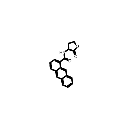 O=C(NC1CCOC1=O)c1cccc2cc3ccccc3cc12